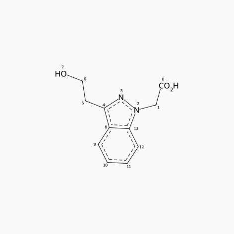 O=C(O)Cn1nc(CCO)c2ccccc21